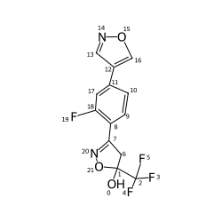 OC1(C(F)(F)F)CC(c2ccc(-c3cnoc3)cc2F)=NO1